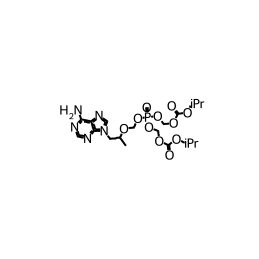 CC(C)OC(=O)OCOP(=O)(OCOC(=O)OC(C)C)OCOC(C)Cn1cnc2c(N)ncnc21